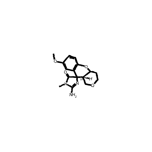 COc1ccc2c(c1)C1(N=C(N)N(C)C1=O)[C@H]1COCCC1O2